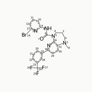 CN1CCCN(C(=O)Nc2cccc(Br)n2)c2nc(-c3cccc(C(F)(F)F)c3)ccc21